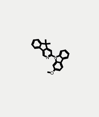 COc1ccc2c3ccccc3n(-c3cc4c(cn3)-c3ccccc3C4(C)C)c2c1